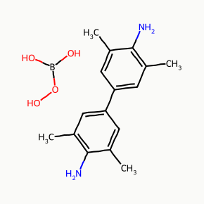 Cc1cc(-c2cc(C)c(N)c(C)c2)cc(C)c1N.OOB(O)O